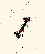 CC(C)(C)OC(=O)/N=C(/NC(=O)OC(C)(C)C)N1CC=C(c2ccc(NC(=O)c3ccc(C(=O)Nc4ccc(CN/C(=N\C(=O)OC(C)(C)C)NC(=O)OC(C)(C)C)cc4)nc3)cc2F)CC1